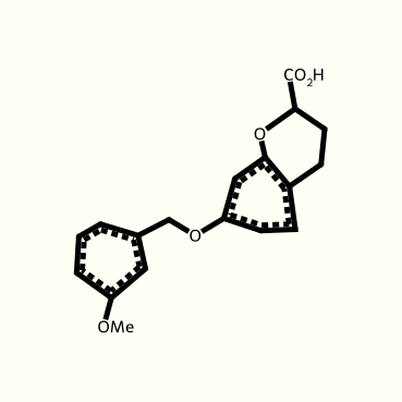 COc1cccc(COc2ccc3c(c2)OC(C(=O)O)CC3)c1